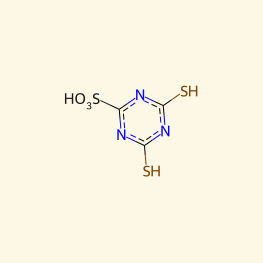 O=S(=O)(O)c1nc(S)nc(S)n1